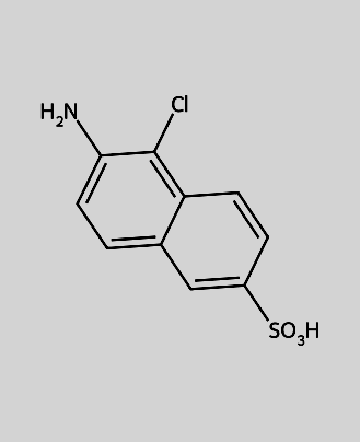 Nc1ccc2cc(S(=O)(=O)O)ccc2c1Cl